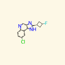 F[C@H]1C[C@@H](c2nc3cnc4ccc(Cl)cc4c3[nH]2)C1